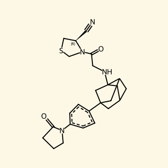 N#C[C@@H]1CSCN1C(=O)CNC12CC3CC1CC(c1ccc(N4CCCC4=O)cc1)(C3)C2